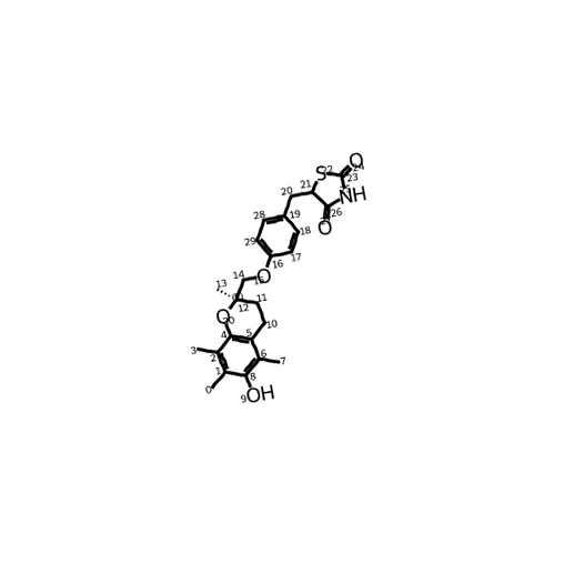 Cc1c(C)c2c(c(C)c1O)CC[C@](C)(COc1ccc(CC3SC(=O)NC3=O)cc1)O2